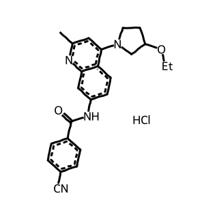 CCOC1CCN(c2cc(C)nc3cc(NC(=O)c4ccc(C#N)cc4)ccc23)C1.Cl